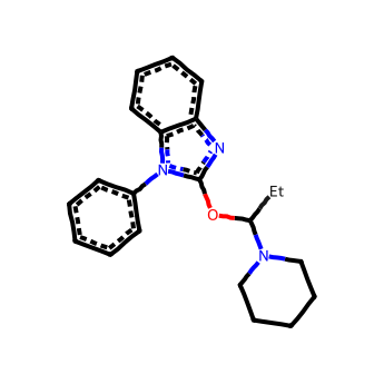 CCC(Oc1nc2ccccc2n1-c1ccccc1)N1CCCCC1